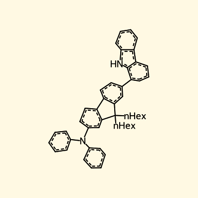 CCCCCCC1(CCCCCC)c2cc(-c3cccc4c3[nH]c3ccccc34)ccc2-c2ccc(N(c3ccccc3)c3ccccc3)cc21